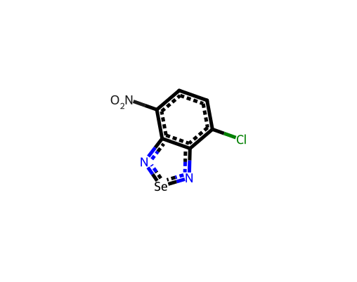 O=[N+]([O-])c1ccc(Cl)c2n[se]nc12